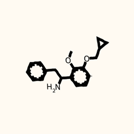 COc1c(OCC2CC2)[c]ccc1C(N)Cc1ccccc1